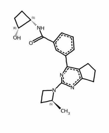 C[C@H]1CCN1c1nc2c(c(-c3cccc(C(=O)N[C@H]4CC[C@H]4O)c3)n1)CCC2